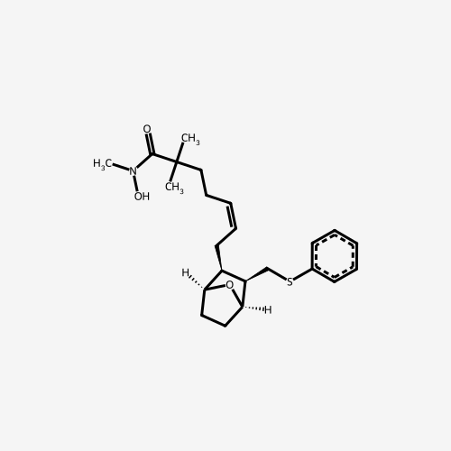 CN(O)C(=O)C(C)(C)CC/C=C\C[C@H]1[C@@H](CSc2ccccc2)[C@H]2CC[C@@H]1O2